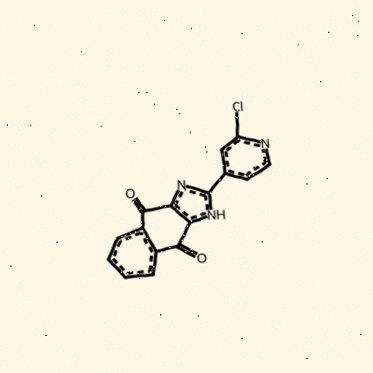 O=C1c2ccccc2C(=O)c2[nH]c(-c3ccnc(Cl)c3)nc21